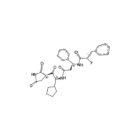 O=C1C[C@H](C(=O)[C@@H](NC(=O)C[C@H](NC(=O)/C(F)=C/c2ccccc2)c2ccccc2)C2CCCC2)C(=O)N1